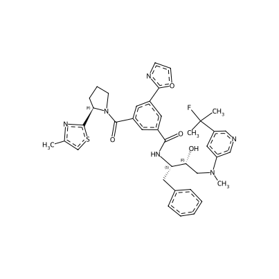 Cc1csc([C@H]2CCCN2C(=O)c2cc(C(=O)N[C@@H](Cc3ccccc3)[C@H](O)CN(C)c3cncc(C(C)(C)F)c3)cc(-c3ncco3)c2)n1